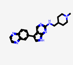 CN1CCC(CNc2ncc3c(-c4ccc5nccnc5c4)c[nH]c3n2)CC1